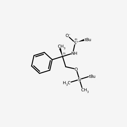 CC(C)(C)[S@+]([O-])N[C@](C)(CO[Si](C)(C)C(C)(C)C)c1ccccc1